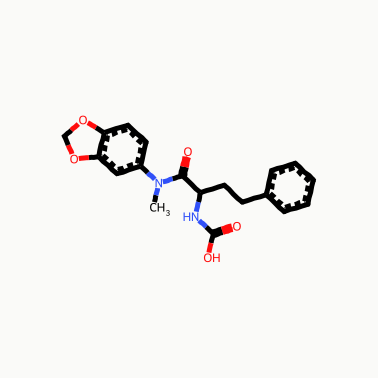 CN(C(=O)C(CCc1ccccc1)NC(=O)O)c1ccc2c(c1)OCO2